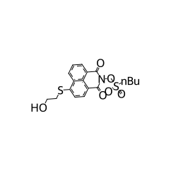 CCCCS(=O)(=O)ON1C(=O)c2cccc3c(SCCO)ccc(c23)C1=O